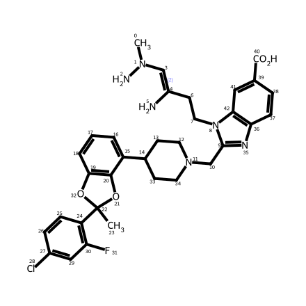 CN(N)/C=C(\N)CCn1c(CN2CCC(c3cccc4c3OC(C)(c3ccc(Cl)cc3F)O4)CC2)nc2ccc(C(=O)O)cc21